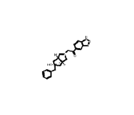 O=C(CN1C[C@@H]2C[C@@](O)(Cc3ccccc3)C[C@@H]2C1)c1ccc2[nH]nnc2c1